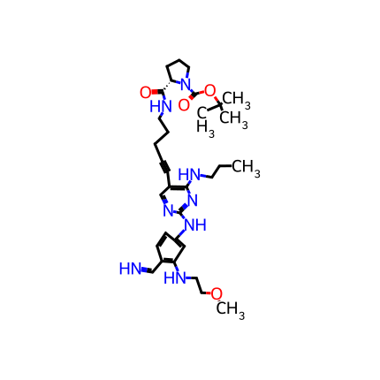 CCCNc1nc(Nc2ccc(C=N)c(NCCOC)c2)ncc1C#CCCCNC(=O)[C@@H]1CCCN1C(=O)OC(C)(C)C